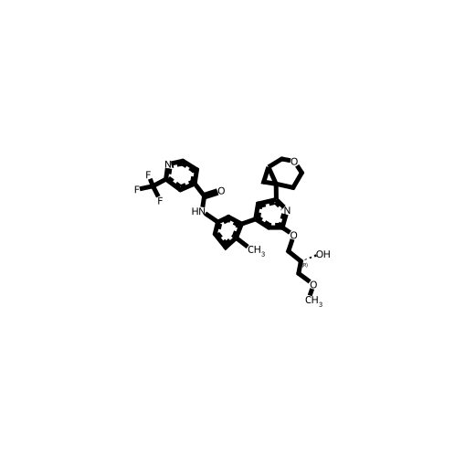 COC[C@@H](O)COc1cc(-c2cc(NC(=O)c3ccnc(C(F)(F)F)c3)ccc2C)cc(C23CCOCC2C3)n1